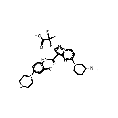 N[C@@H]1CCCN(c2ccn3ncc(C(=O)Nc4ccc(N5CCOCC5)cc4Cl)c3n2)C1.O=C(O)C(F)(F)F